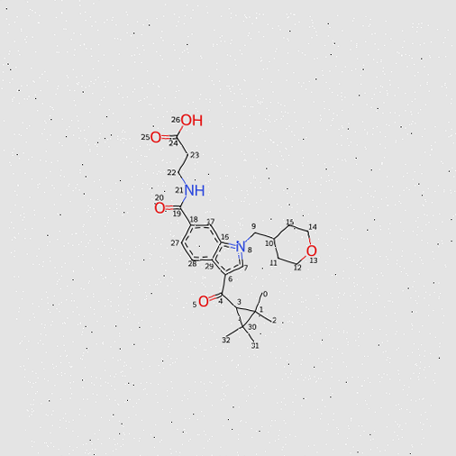 CC1(C)C(C(=O)c2cn(CC3CCOCC3)c3cc(C(=O)NCCC(=O)O)ccc23)C1(C)C